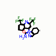 NC(=O)[N+]1(c2cc(C(F)(F)F)nc3c(C(F)(F)F)cccc23)N=CC2=C1CC[C]C2